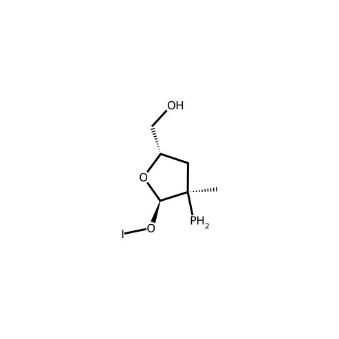 C[C@@]1(P)C[C@@H](CO)O[C@@H]1OI